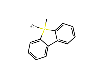 CC(C)S1(C)c2ccccc2-c2ccccc21